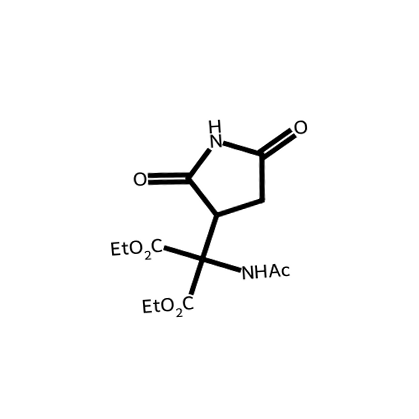 CCOC(=O)C(NC(C)=O)(C(=O)OCC)C1CC(=O)NC1=O